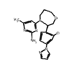 Cc1cc(N2CCCOCC2c2ccc(-n3cccn3)cc2Cl)nc(N)n1